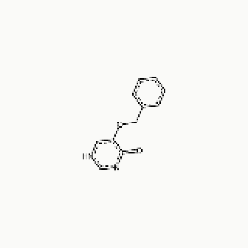 O=c1nc[nH]cc1OCc1ccccc1